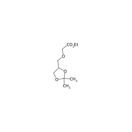 CCOC(=O)COCC1COC(C)(C)O1